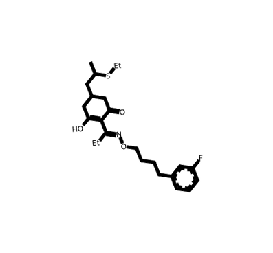 CCSC(C)CC1CC(=O)C(C(CC)=NOCCCCc2cccc(F)c2)=C(O)C1